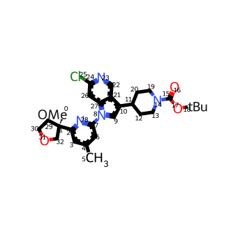 CO[C@@]1(c2cc(C)cc(-n3cc(C4CCN(C(=O)OC(C)(C)C)CC4)c4cnc(Cl)cc43)n2)CCOC1